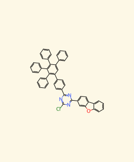 Clc1nc(-c2ccc(-c3cc(-c4ccccc4)c(-c4ccccc4)c(-c4ccccc4)c3-c3ccccc3)cc2)nc(-c2ccc3c(c2)oc2ccccc23)n1